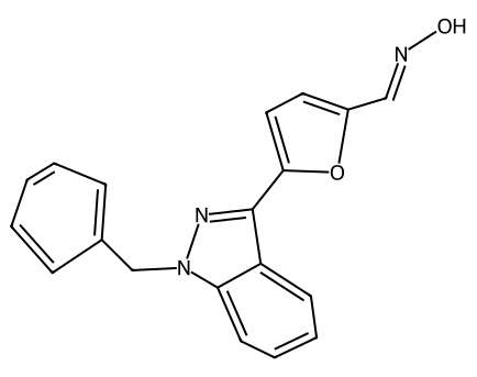 O/N=C/c1ccc(-c2nn(Cc3ccccc3)c3ccccc23)o1